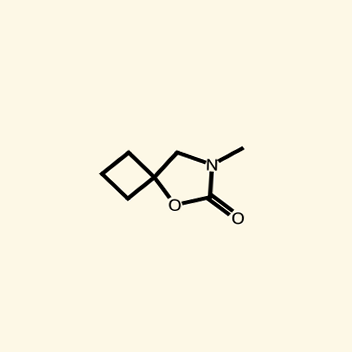 CN1CC2(CCC2)OC1=O